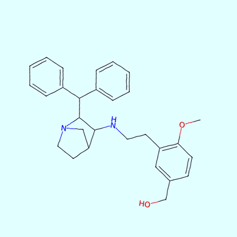 COc1ccc(CO)cc1CCNC1C2CCN(C2)C1C(c1ccccc1)c1ccccc1